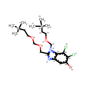 C[Si](C)(C)CCOCOCc1nc2cc(Br)c(Cl)c(Cl)c2n1COCC[Si](C)(C)C